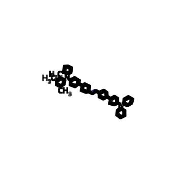 Cc1cc(C)cc(N(c2ccc(-c3ccc(/C=C/c4ccc(-c5ccc(N(c6ccccc6)c6ccccc6)cc5)cc4)cc3)cc2)c2ccccc2C)c1